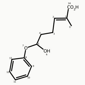 CC(=CCCC(O)Oc1ccccc1)C(=O)O